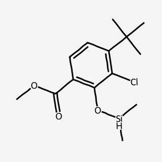 COC(=O)c1ccc(C(C)(C)C)c(Cl)c1O[SiH](C)C